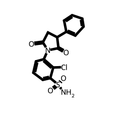 NS(=O)(=O)c1cccc(N2C(=O)CC(c3ccccc3)C2=O)c1Cl